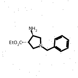 CCOC(=O)[C@H]1CN(Cc2ccccc2)C[C@@H]1N